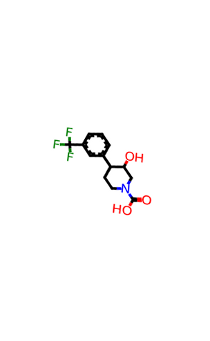 O=C(O)N1CCC(c2cccc(C(F)(F)F)c2)C(O)C1